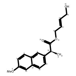 COc1ccc2cc([C@H](C)C(=O)OCC=CCO)ccc2c1